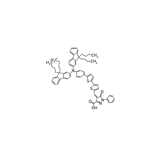 CCCCC1(CCCC)c2ccccc2-c2ccc(N(c3ccc(-c4ccc(-c5ccc(/C=C6\C(=O)N(c7ccccc7)N=C6C(=O)O)s5)s4)cc3)c3ccc4c(c3)C(CCCC)(CCCC)c3ccccc3-4)cc21